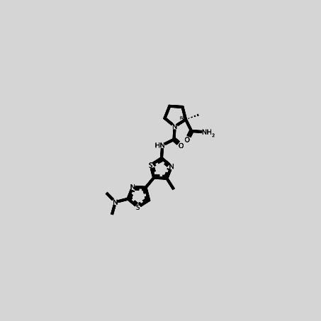 Cc1nc(NC(=O)N2CCC[C@@]2(C)C(N)=O)sc1-c1csc(N(C)C)n1